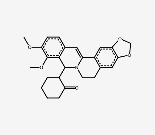 COc1ccc2c(c1OC)C(C1CCCCC1=O)N1CCc3cc4c(cc3C1=C2)OCO4